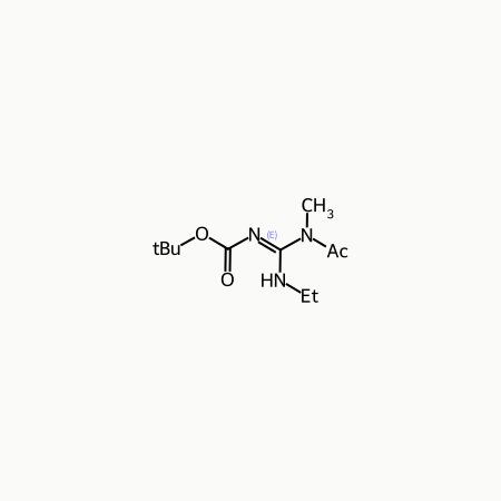 CCN/C(=N\C(=O)OC(C)(C)C)N(C)C(C)=O